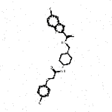 O=C(COc1ccc(Cl)cc1)N[C@H]1CC[C@H](CNC(=O)c2cc3cc(Cl)ccc3o2)CC1